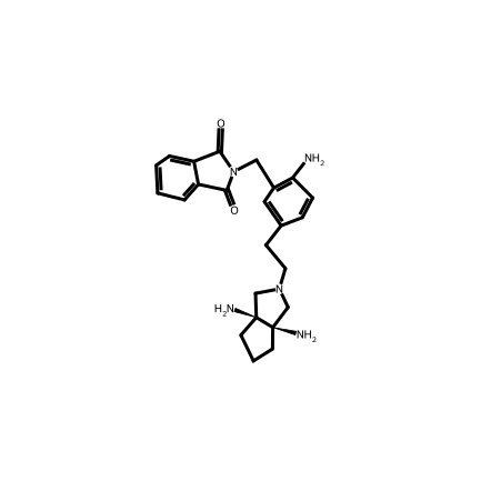 Nc1ccc(CCN2C[C@]3(N)CCC[C@]3(N)C2)cc1CN1C(=O)c2ccccc2C1=O